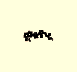 CC(=O)CSc1nnc(-c2ccc(-c3ccc4cnn(C)c4c3)o2)[nH]1